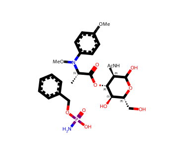 COc1ccc(N(OC)[C@@H](C)C(=O)O[C@H]2[C@H](O)[C@@H](CO)OC(O)[C@@H]2NC(C)=O)cc1.NP(=O)(O)OCc1ccccc1